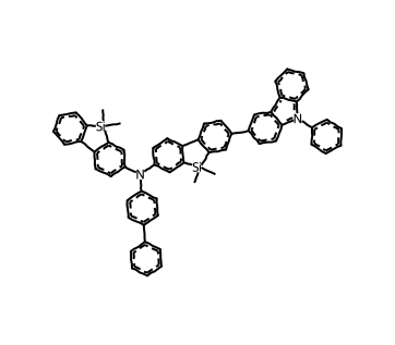 C[Si]1(C)c2ccccc2-c2ccc(N(c3ccc(-c4ccccc4)cc3)c3ccc4c(c3)[Si](C)(C)c3cc(-c5ccc6c(c5)c5ccccc5n6-c5ccccc5)ccc3-4)cc21